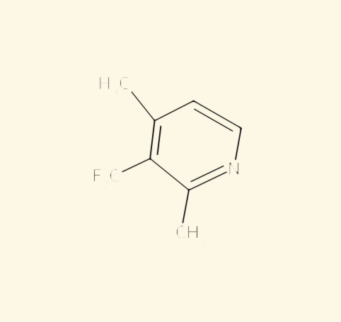 Cc1c[c]nc(C)c1C(F)(F)F